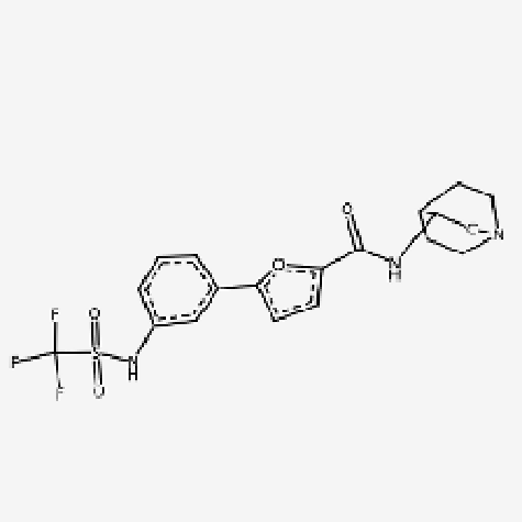 O=C(NC1CN2CCC1CC2)c1ccc(-c2cccc(NS(=O)(=O)C(F)(F)F)c2)o1